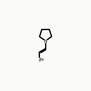 CC(C)/C=C/N1CCCC1